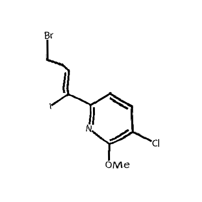 COc1nc(C(I)=CCBr)ccc1Cl